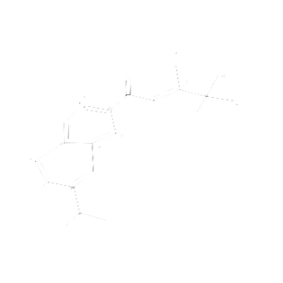 CC(C)c1ccc2cnc(C(=O)/C=C(\O)C(C)(C)C)cc2c1